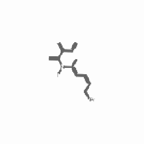 C=CC(=C)C(=C)N(I)/C(C)=C/C=C\CC(C)C